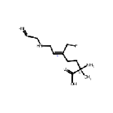 C[C@](N)(CC/C(=C/CNCC=N)CF)C(=O)O